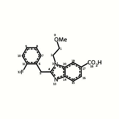 COCCn1c(Cc2ccccc2F)nc2ccc(C(=O)O)cc21